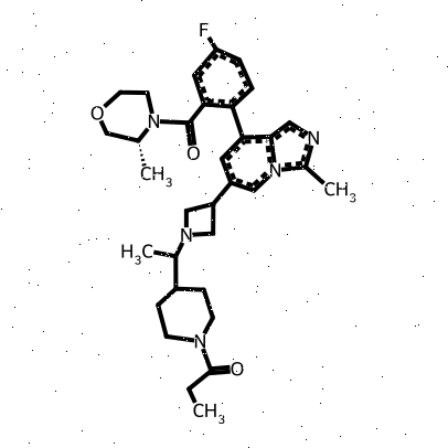 CCC(=O)N1CCC(C(C)N2CC(c3cc(-c4ccc(F)cc4C(=O)N4CCOC[C@H]4C)c4cnc(C)n4c3)C2)CC1